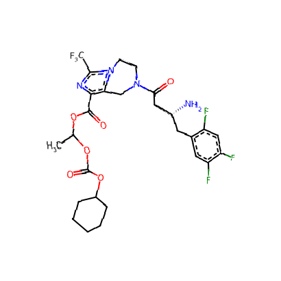 CC(OC(=O)OC1CCCCC1)OC(=O)c1nc(C(F)(F)F)n2c1CN(C(=O)C[C@H](N)Cc1cc(F)c(F)cc1F)CC2